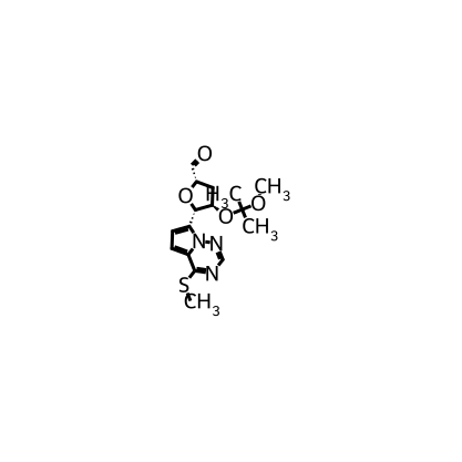 COC(C)(C)O[C@@H]1C[C@@H](C=O)O[C@H]1c1ccc2c(SC)ncnn12